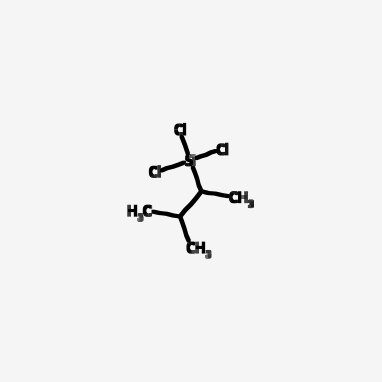 CC(C)C(C)[Si](Cl)(Cl)Cl